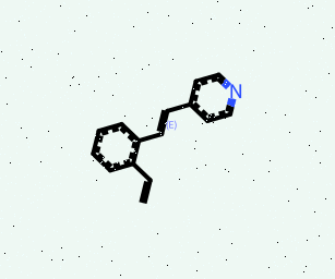 C=Cc1ccccc1/C=C/c1ccncc1